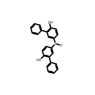 [O-][S+](c1ccc(O)c(-c2ccccc2)c1)c1ccc(O)c(-c2ccccc2)c1